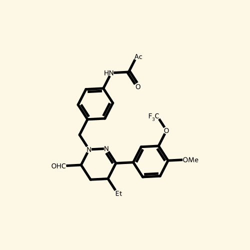 CCC1CC(C=O)N(Cc2ccc(NC(=O)C(C)=O)cc2)N=C1c1ccc(OC)c(OC(F)(F)F)c1